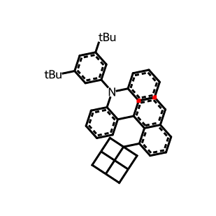 CC(C)(C)c1cc(N(c2ccccc2)c2ccccc2-c2cccc3cccc(C45CC6CC7CC(C4)C765)c23)cc(C(C)(C)C)c1